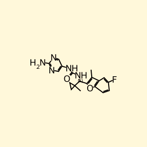 Cc1c([C@@H](NC(=O)Nc2cnc(N)nc2)C2(C)CC2)oc2ccc(F)cc12